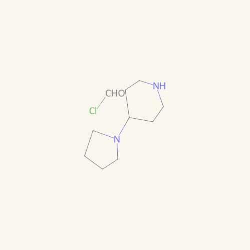 C1CCN(C2CCNCC2)C1.O=CCl